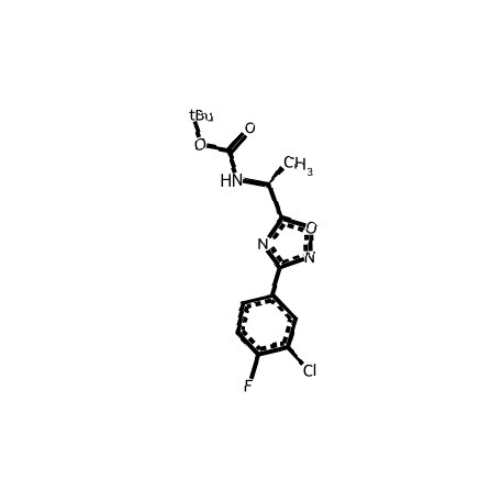 C[C@H](NC(=O)OC(C)(C)C)c1nc(-c2ccc(F)c(Cl)c2)no1